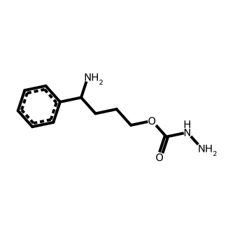 NNC(=O)OCCCC(N)c1ccccc1